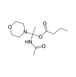 CCCC(=O)OC(C)(NC(C)=O)N1CCOCC1